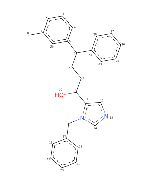 Cc1cccc(C(CCC(O)c2cncn2Cc2ccccc2)c2ccccc2)c1